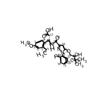 CCc1cc(OC)ccc1[C@H](CC(=O)O)NC(=O)c1cc(OC[C@H](O)C(C)(C)C)n(-c2ccccc2F)n1